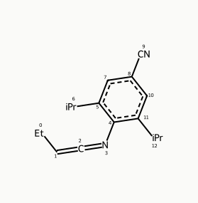 CCC=C=Nc1c(C(C)C)cc(C#N)cc1C(C)C